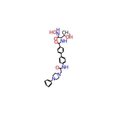 C[C@@H](O)[C@H](NC(=O)c1ccc(-c2ccc(NC(=O)CN3CCN(c4ccccc4)CC3)cc2)cc1)C(=O)NO